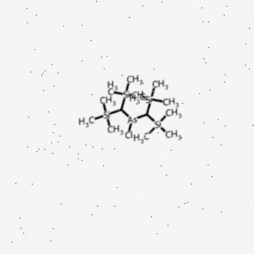 C[Si](C)(C)C([As](Cl)C([Si](C)(C)C)[Si](C)(C)C)[Si](C)(C)C